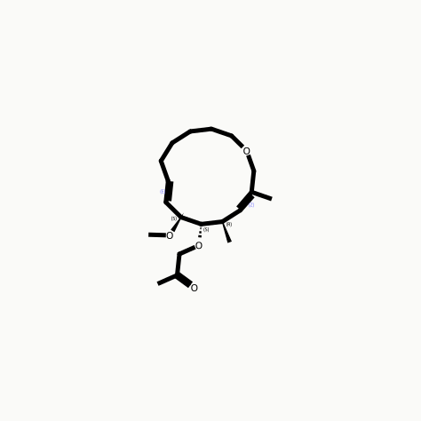 CO[C@H]1/C=C/CCCCCOC/C(C)=C\[C@@H](C)[C@@H]1OCC(C)=O